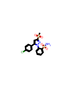 CS(=O)(=O)c1cc(-c2ccc(Cl)cc2)n(-c2ccccc2S(N)(=O)=O)n1